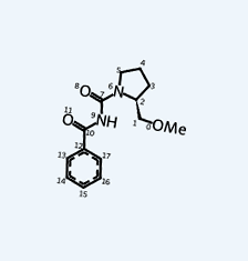 COC[C@@H]1CCCN1C(=O)NC(=O)c1ccccc1